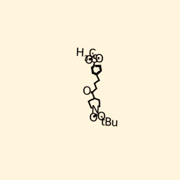 CC(C)(C)OC(=O)N1CCC(C(=O)CCCc2ccc(S(C)(=O)=O)cc2)CC1